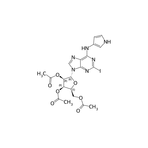 CC(=O)OC[C@@H]1O[C@@H](n2cnc3c(Nc4cc[nH]c4)nc(I)nc32)[C@H](OC(C)=O)[C@@H]1OC(C)=O